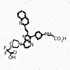 O=C(O)C(F)(F)F.O=C(O)CCNc1ccc(-c2c(/C=C/c3ccc4ccccc4n3)nc3c(N4CCOCC4)ccnn23)cc1